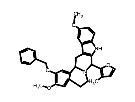 COc1ccc2[nH]c3c(c2c1)CC1c2cc(OCc4ccccc4)c(OC)cc2CCN1C3c1occc1C